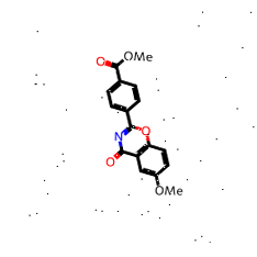 COC(=O)c1ccc(-c2nc(=O)c3cc(OC)ccc3o2)cc1